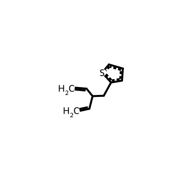 C=CC(C=C)Cc1cccs1